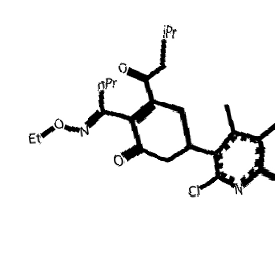 CCCC(=NOCC)C1=C(C(=O)CC(C)C)CC(c2c(Cl)nc(C)c(C)c2C)CC1=O